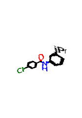 CC(C)c1cccc(NC(=O)c2ccc(Cl)cc2)c1